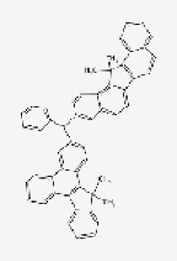 CC1(C)c2c(ccc3ccccc23)-c2ccc3cc(N(c4ccccc4)c4ccc5c6c(c7ccccc7c5c4)-c4ccccc4C6(C)C)ccc3c21